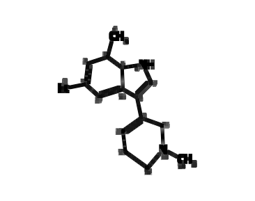 CCC1=CC(C)C2NC=C(C3=CCCN(C)C3)C2=C1